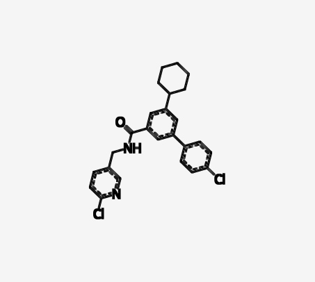 O=C(NCc1ccc(Cl)nc1)c1cc(-c2ccc(Cl)cc2)cc(C2CCCCC2)c1